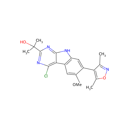 COc1cc2c(cc1-c1c(C)noc1C)[nH]c1nc(C(C)(C)O)nc(Cl)c12